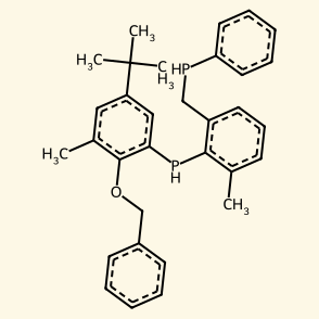 Cc1cc(C(C)(C)C)cc(Pc2c(C)cccc2CPc2ccccc2)c1OCc1ccccc1